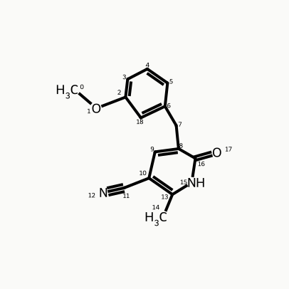 COc1cccc(Cc2cc(C#N)c(C)[nH]c2=O)c1